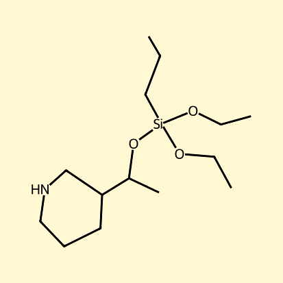 CCC[Si](OCC)(OCC)OC(C)C1CCCNC1